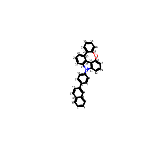 c1ccc2cc(-c3ccc(-n4c5cccc6oc7ccccc7c7cccc4c7c65)cc3)ccc2c1